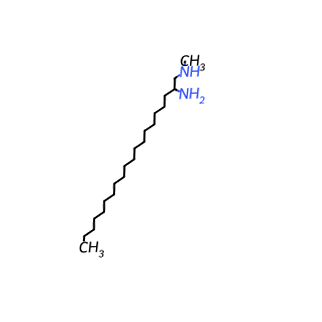 CCCCCCCCCCCCCCCCCCC(N)CNC